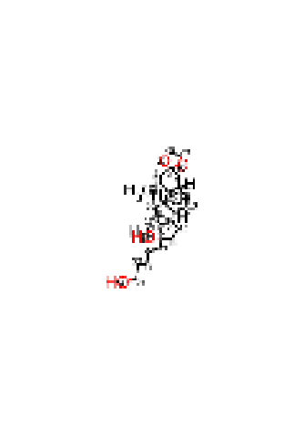 C[C@H]1CC2(C[C@@H]3CC[C@@H]4[C@H](CC[C@@]5(C)[C@H]4CC[C@@]5(O)CCCCCO)[C@]31C)OCCO2